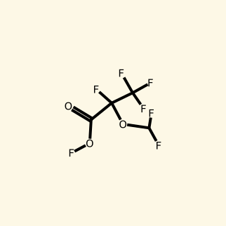 O=C(OF)C(F)(OC(F)F)C(F)(F)F